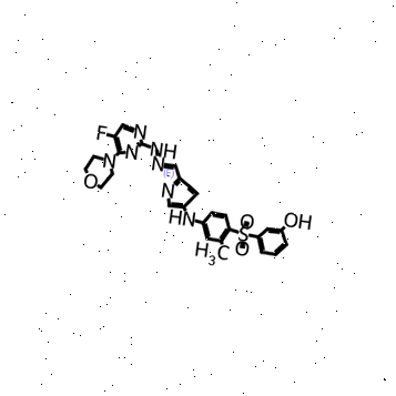 Cc1cc(Nc2ccc(/C=N/Nc3ncc(F)c(N4CCOCC4)n3)nc2)ccc1S(=O)(=O)c1cccc(O)c1